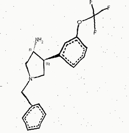 N[C@H]1C[N+](Cc2ccccc2)C[C@@H]1c1cccc(OC(F)(F)F)c1